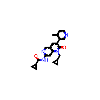 Cc1ccncc1-c1cc2cnc(NC(=O)C3CC3)cc2n(CC2CC2)c1=O